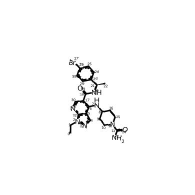 CCn1ncc2c(NC3CCN(C(N)=O)CC3)c(C(=O)N[C@H](C)c3ccc(Br)cc3)cnc21